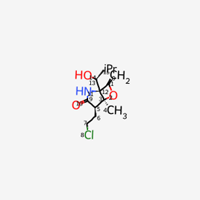 C=C1O[C@@]2(C)[C@@H](CCCl)C(=O)N[C@@]12[C@@H](O)C(C)C